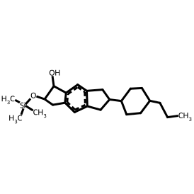 CCCC1CCC(C2Cc3cc4c(cc3C2)C(O)C(O[Si](C)(C)C)C4)CC1